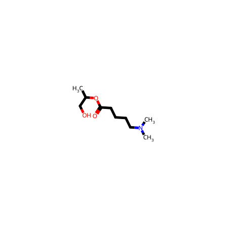 CC(CO)OC(=O)CCCCN(C)C